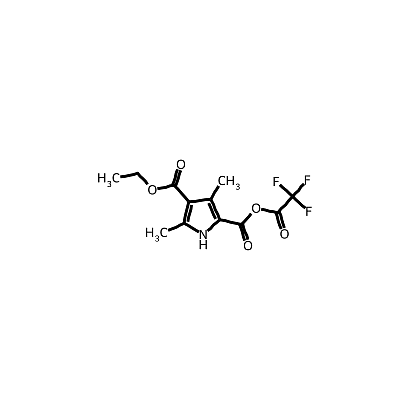 CCOC(=O)c1c(C)[nH]c(C(=O)OC(=O)C(F)(F)F)c1C